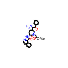 COC(=O)CN1CC(C(N)C(=O)c2ccccc2)=CCC(NC(=O)c2nccc3ccccc23)C1=O